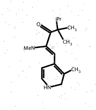 CN/C(=C\C1=C(C)CNC=C1)C(=O)C(C)(C)C(C)C